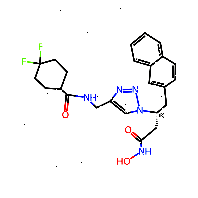 O=C(C[C@@H](Cc1ccc2ccccc2c1)n1cc(CNC(=O)C2CCC(F)(F)CC2)nn1)NO